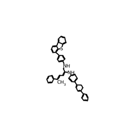 C/C(=C\C=C(/CNc1ccc(-c2cccc3c2sc2ccccc23)cc1)Nc1ccc(C2=CC=C(c3ccccc3)CC2)cc1)c1ccccc1